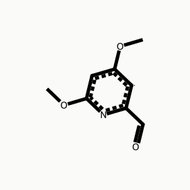 COc1[c]c(C=O)nc(OC)c1